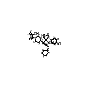 CN(C(=O)OC1CCCCC1)[C@]1(C(=O)C2CCN(C(=O)C3(C)CC3)CC2)CNC[C@H]1c1ccc(Cl)cc1